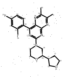 Cc1nc2nc(N3CCO[C@H]([C@H]4CCOC4)C3)nc(-c3ccc(F)cc3F)c2nc1C